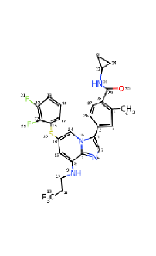 Cc1cc(-c2cnc3c(NCCC(F)(F)F)cc(Sc4cccc(F)c4F)cn23)ccc1C(=O)NC1CC1